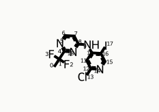 CC(F)(F)c1nccc(Nc2cc(Cl)ncc2I)n1